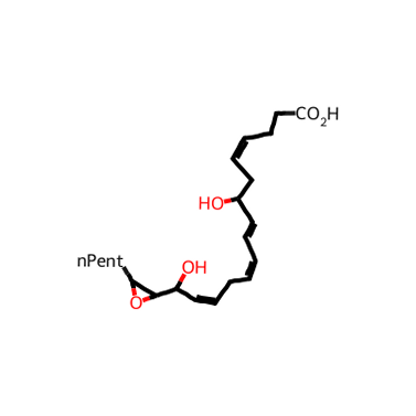 CCCCCC1OC1C(O)/C=C\C/C=C\C=C\C(O)C/C=C\CCC(=O)O